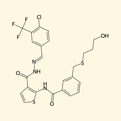 O=C(Nc1sccc1C(=O)N/N=C/c1ccc(Cl)c(C(F)(F)F)c1)c1cccc(CSCCCO)c1